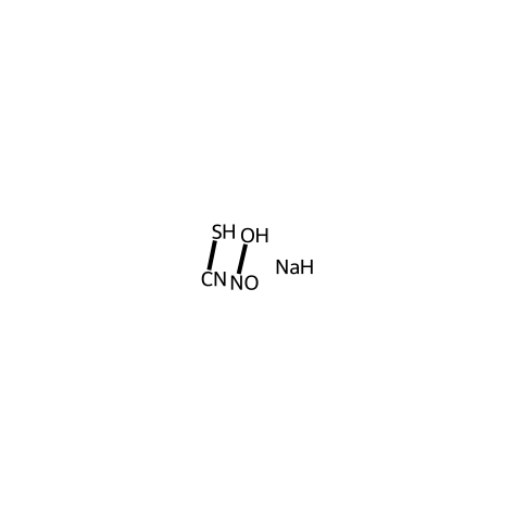 N#CS.O=NO.[NaH]